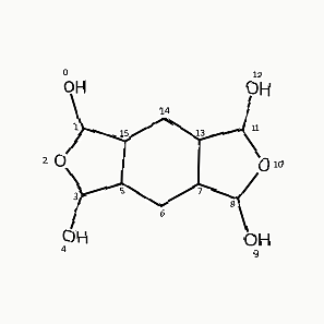 OC1OC(O)C2CC3C(O)OC(O)C3CC12